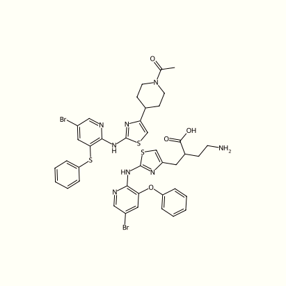 CC(=O)N1CCC(c2csc(Nc3ncc(Br)cc3Sc3ccccc3)n2)CC1.NCCC(Cc1csc(Nc2ncc(Br)cc2Oc2ccccc2)n1)C(=O)O